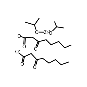 CC(C)[O][Zr+2][O]C(C)C.CCCCCC(=O)CC(=O)[O-].CCCCCC(=O)CC(=O)[O-]